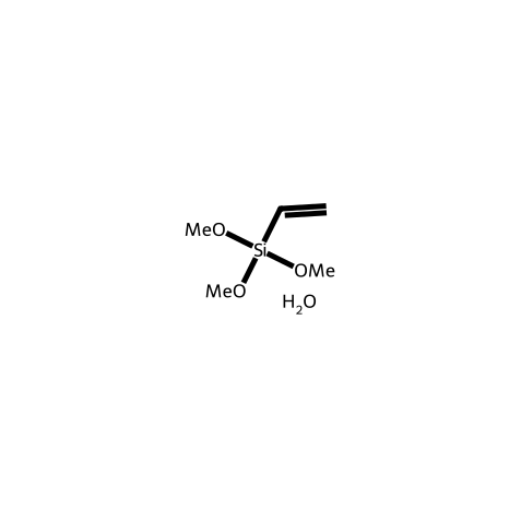 C=C[Si](OC)(OC)OC.O